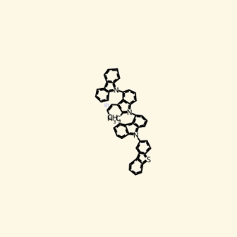 C/C=C\c1c(C)n(-c2cccc3c2c2ccccc2n3-c2ccc3sc4ccccc4c3c2)c2cccc(-n3c4ccccc4c4ccccc43)c12